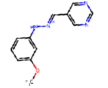 FC(F)(F)Oc1cccc(N/N=C/c2cncnc2)c1